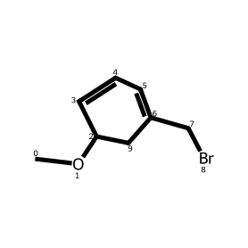 COC1C=CC=C(CBr)C1